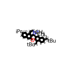 Cc1c2c(c(CC(C)(C)C)c3ccc(CC(C)(C)C)cc13)Oc1cc3ccc(C(C)C)cc3c3cc[n+](C)c-2c13